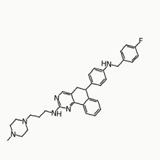 CN1CCN(CCCNc2ncc3c(n2)-c2ccccc2C(c2ccc(NCc4ccc(F)cc4)cc2)C3)CC1